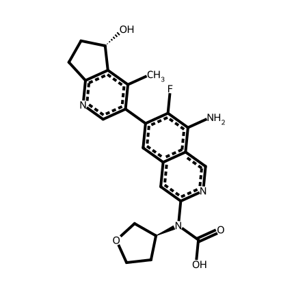 Cc1c(-c2cc3cc(N(C(=O)O)[C@H]4CCOC4)ncc3c(N)c2F)cnc2c1[C@@H](O)CC2